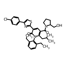 CCc1cccc(CC)c1-n1c(CC(C)C)c(C(=O)N2CCCC2CO)cc(-c2nc(-c3ccc(Cl)cc3)cs2)c1=O